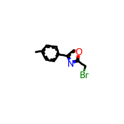 Cc1ccc(-c2coc(CBr)n2)cc1